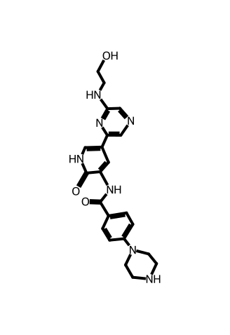 O=C(Nc1cc(-c2cncc(NCCO)n2)c[nH]c1=O)c1ccc(N2CCNCC2)cc1